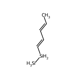 CC=CC=C[SiH2][SiH3]